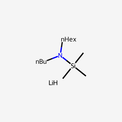 [CH2]CCCCCN(CCCC)[Si](C)(C)C.[LiH]